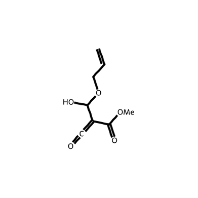 C=CCOC(O)C(=C=O)C(=O)OC